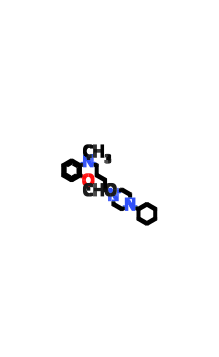 CN(CCCCN1CCN(C2CCCCC2)CC1)c1ccccc1OC=O